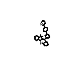 CC1(C)c2ccccc2-c2nc3ccccc3c(-c3cccc(-c4ccc(-c5ccccn5)cc4)c3)c21